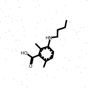 CCCCNc1ccc(C)c(C(=O)O)c1C